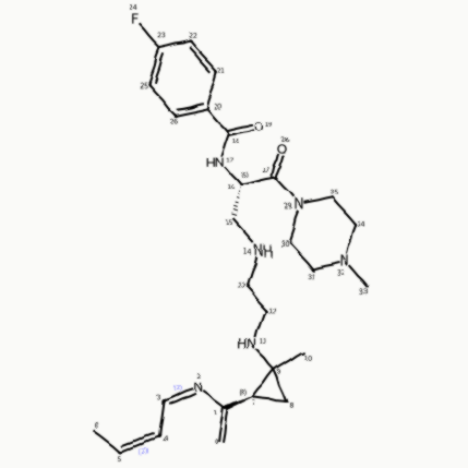 C=C(/N=C\C=C/C)[C@@H]1CC1(C)NCCNC[C@H](NC(=O)c1ccc(F)cc1)C(=O)N1CCN(C)CC1